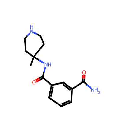 CC1(NC(=O)c2cccc(C(N)=O)c2)CCNCC1